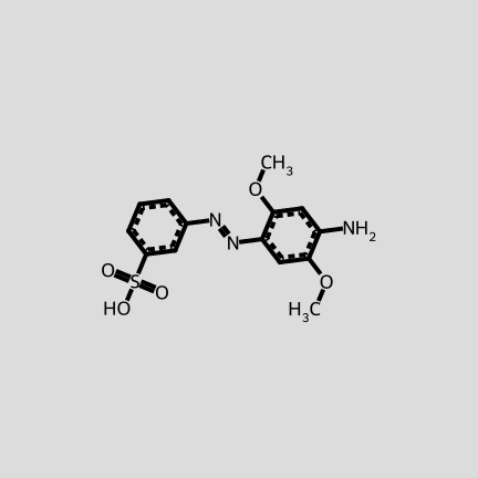 COc1cc(N=Nc2cccc(S(=O)(=O)O)c2)c(OC)cc1N